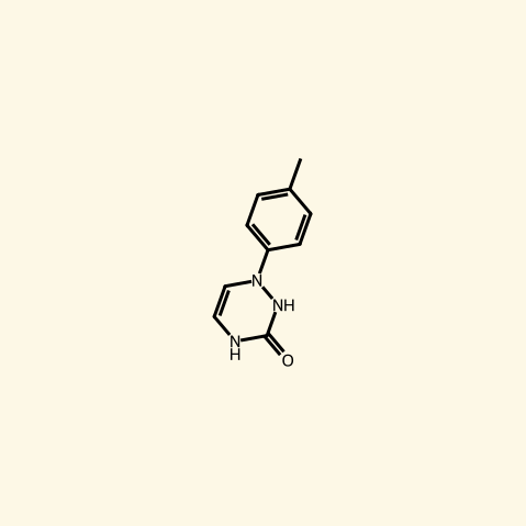 Cc1ccc(N2C=CNC(=O)N2)cc1